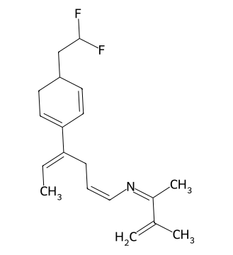 C=C(C)/C(C)=N\C=C/C/C(=C\C)C1=CCC(CC(F)F)C=C1